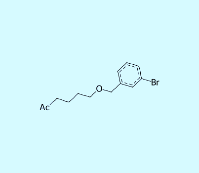 CC(=O)CCCCOCc1cccc(Br)c1